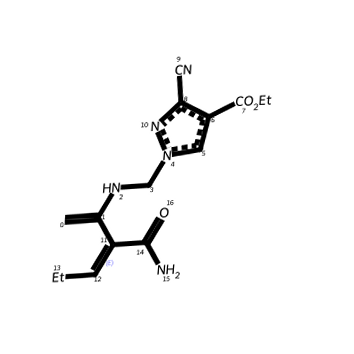 C=C(NCn1cc(C(=O)OCC)c(C#N)n1)/C(=C\CC)C(N)=O